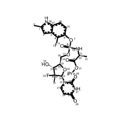 Cc1cc2c(F)c(OP(=O)(N[C@@H](C)C(=O)OC(C)C)OC[C@H]3O[C@@H](n4ccc(=O)[nH]c4=O)[C@](C)(F)[C@@H]3O)ccc2[nH]1